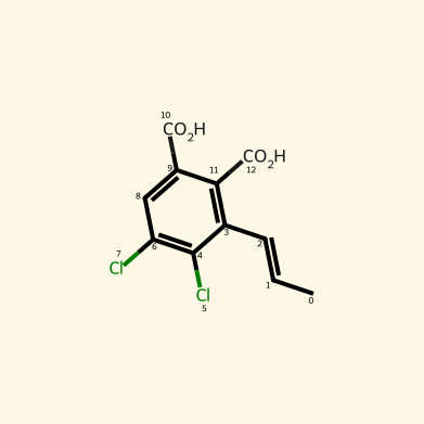 CC=Cc1c(Cl)c(Cl)cc(C(=O)O)c1C(=O)O